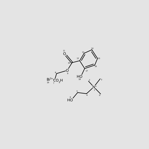 C[N+](C)(C)CCO.O=C(O)COC(=O)c1ccccc1O.[Bi+3]